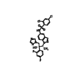 C[C@@H](n1ncc2cc(NS(=O)(=O)c3ccc(Cl)cc3Cl)ccc21)[C@](O)(Cn1cncn1)c1ccc(F)cc1F